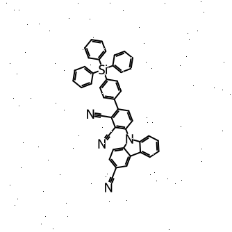 N#Cc1ccc2c(c1)c1ccccc1n2-c1ccc(-c2ccc([Si](c3ccccc3)(c3ccccc3)c3ccccc3)cc2)c(C#N)c1C#N